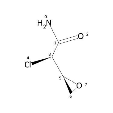 NC(=O)[C@H](Cl)[C@@H]1CO1